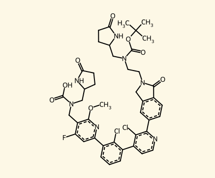 COc1nc(-c2cccc(-c3ccnc(-c4ccc5c(c4)CN(CCN(CC4CCC(=O)N4)C(=O)OC(C)(C)C)C5=O)c3Cl)c2Cl)cc(F)c1CN(CC1CCC(=O)N1)C(=O)O